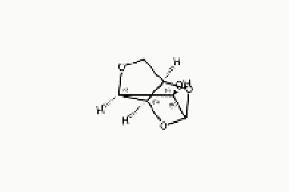 O[C@H]1C2O[C@H]3[C@H]1OC[C@H]3O2